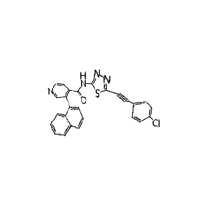 O=C(Nc1nnc(C#Cc2ccc(Cl)cc2)s1)c1ccncc1-c1cccc2ccccc12